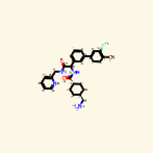 N#Cc1ccc(-c2cccc(C(NC(=O)[C@H]3CC[C@H](CN)CC3)C(=O)NCc3ccccn3)c2)cc1F